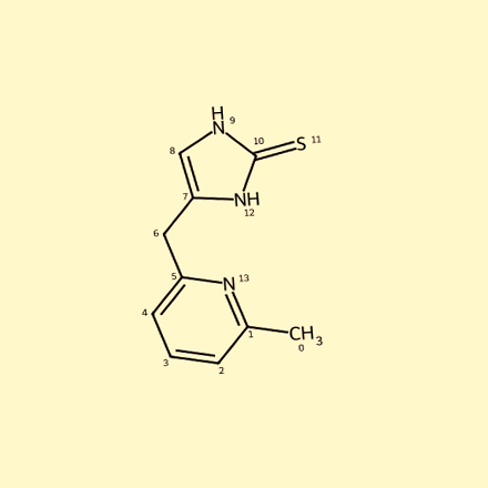 Cc1cccc(Cc2c[nH]c(=S)[nH]2)n1